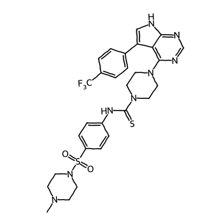 CN1CCN(S(=O)(=O)c2ccc(NC(=S)N3CCN(c4ncnc5[nH]cc(-c6ccc(C(F)(F)F)cc6)c45)CC3)cc2)CC1